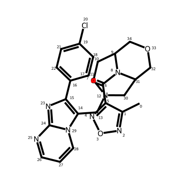 Cc1nonc1C(=O)N1C2CCN(Cc3c(-c4ccc(Cl)cc4)nc4ncccn34)CC1COC2